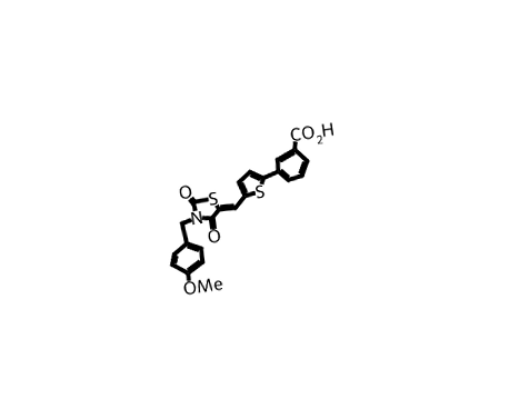 COc1ccc(CN2C(=O)S/C(=C\c3ccc(-c4cccc(C(=O)O)c4)s3)C2=O)cc1